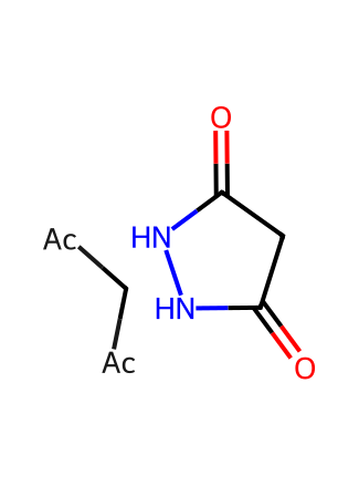 CC(=O)CC(C)=O.O=C1CC(=O)NN1